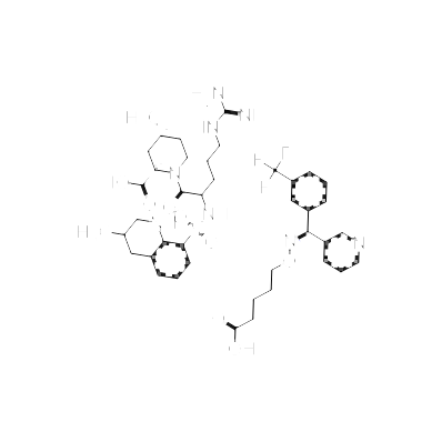 CC1CNc2c(cccc2S(=O)(=O)NC(CCCNC(=N)N)C(=O)N2CC[C@@H](C)C[C@@H]2C(=O)O)C1.O=C(O)CCCCO/N=C(\c1cccnc1)c1cccc(C(F)(F)F)c1